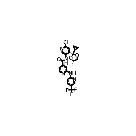 C[C@H]1CO[C@](c2cc(Cl)ncc2NC(=O)c2ccnc(Nc3ccc(C(F)(F)F)cn3)c2)(C2CC2)O1